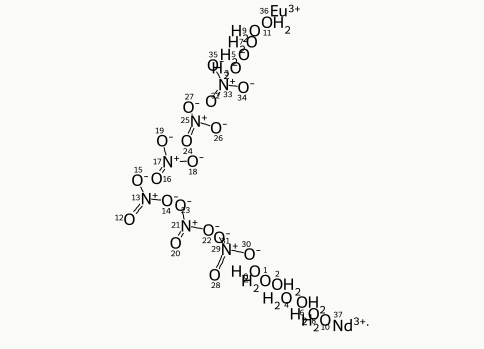 O.O.O.O.O.O.O.O.O.O.O.O.O=[N+]([O-])[O-].O=[N+]([O-])[O-].O=[N+]([O-])[O-].O=[N+]([O-])[O-].O=[N+]([O-])[O-].O=[N+]([O-])[O-].[Eu+3].[Nd+3]